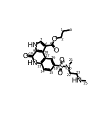 CCCOC(=O)c1c[nH]c2c(=O)[nH]c3ccc(S(=O)(=O)N(C)CCNC)cc3c12